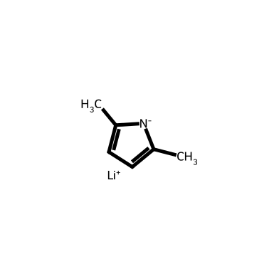 Cc1ccc(C)[n-]1.[Li+]